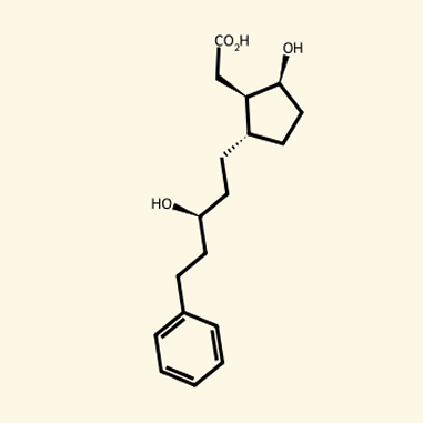 O=C(O)C[C@@H]1[C@@H](CC[C@H](O)CCc2ccccc2)CC[C@@H]1O